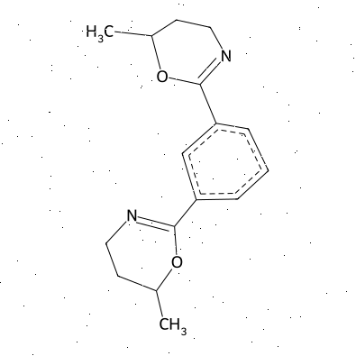 CC1CCN=C(c2cccc(C3=NCCC(C)O3)c2)O1